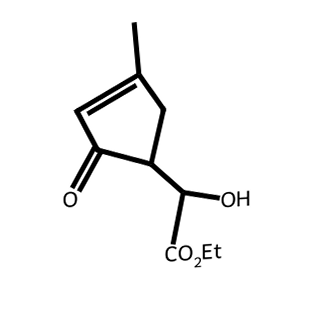 CCOC(=O)C(O)C1CC(C)=CC1=O